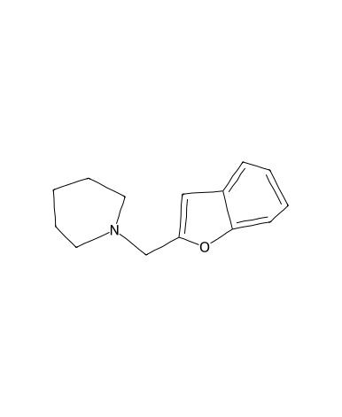 c1ccc2oc(CN3CCCCC3)cc2c1